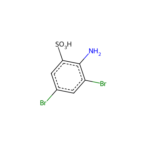 Nc1c(Br)cc(Br)cc1S(=O)(=O)O